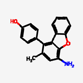 Cc1cc(N)c2oc3ccccc3c2c1-c1ccc(O)cc1